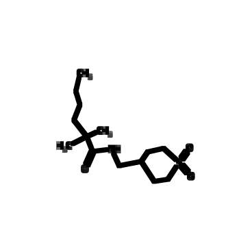 CCCCC(C)(C)C(=O)NCC1CCS(=O)(=O)CC1